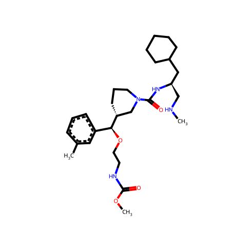 CNC[C@H](CC1CCCCC1)NC(=O)N1CCC[C@@H]([C@@H](OCCNC(=O)OC)c2cccc(C)c2)C1